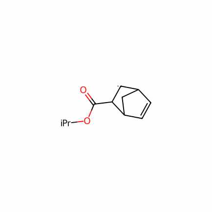 CC(C)OC(=O)C1[CH]C2C=CC1C2